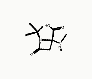 C[SiH](C)C1(C(=O)O)CC(=O)N1C(C)(C)C